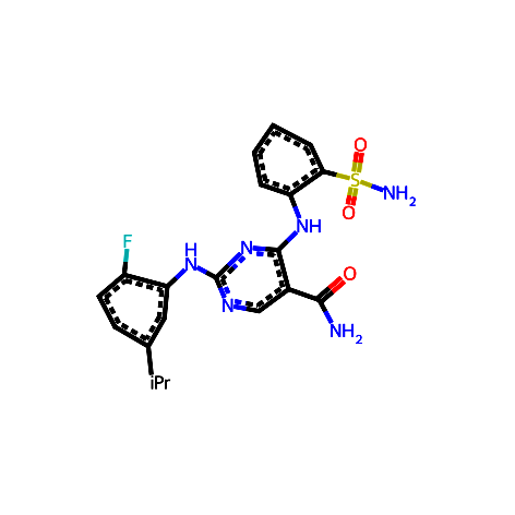 CC(C)c1ccc(F)c(Nc2ncc(C(N)=O)c(Nc3ccccc3S(N)(=O)=O)n2)c1